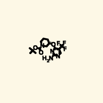 CC(C)(C)OC(=O)N1CCC[C@H](Oc2nc(N)ncc2C(F)(F)F)C1